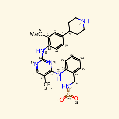 COc1cc(C2CCNCC2)ccc1Nc1ncc(C(F)(F)F)c(Nc2ccccc2CN[SH](=O)=O)n1